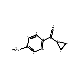 CCCCC[CH]c1ccc(C(=O)C2CC2)cc1